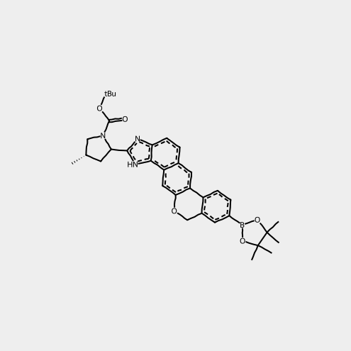 C[C@H]1CC(c2nc3ccc4cc5c(cc4c3[nH]2)OCc2cc(B3OC(C)(C)C(C)(C)O3)ccc2-5)N(C(=O)OC(C)(C)C)C1